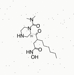 CCCCCCC(CC(=O)NO)C(=O)[C@@H]1CNCCN1C(=O)N(C)C